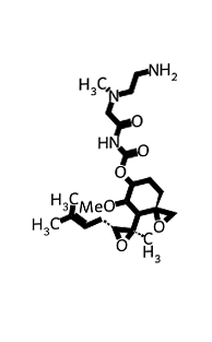 COC1C(OC(=O)NC(=O)CN(C)CCN)CC[C@]2(CO2)C1[C@@]1(C)O[C@@H]1CC=C(C)C